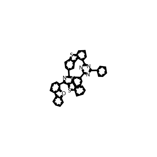 c1ccc(-c2nc(-c3ccccc3)nc(-c3cccc4sc5ccc(-c6nc(-c7cccc8c7oc7ccccc78)c7sc8ccccc8c7n6)cc5c34)n2)cc1